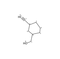 C#CC1CCCC(CO)C1